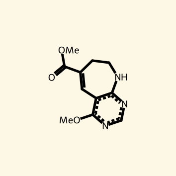 COC(=O)C1=Cc2c(ncnc2OC)NCC1